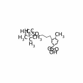 Cc1ccc(S(=O)(=O)O)cc1CCCCO[Si](C)(C)C(C)(C)C